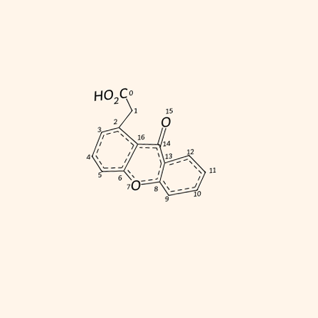 O=C(O)Cc1cccc2oc3ccccc3c(=O)c12